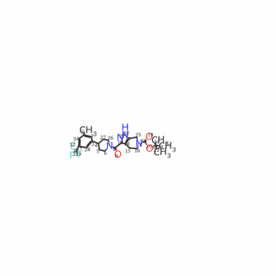 Cc1cc(C2CCN(C(=O)c3n[nH]c4c3CCN(C(=O)OC(C)(C)C)C4)CC2)cc(C(F)(F)F)c1